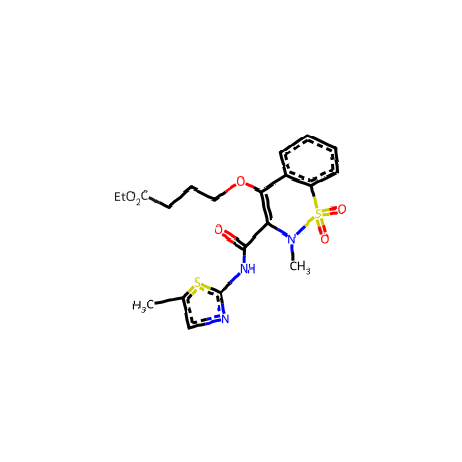 CCOC(=O)CCCOC1=C(C(=O)Nc2ncc(C)s2)N(C)S(=O)(=O)c2ccccc21